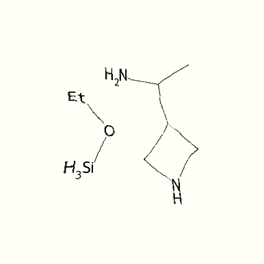 CC(N)C1CNC1.CCO[SiH3]